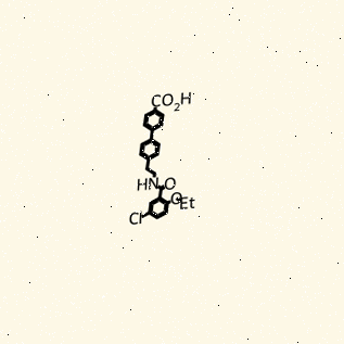 CCOc1ccc(Cl)cc1C(=O)NCCc1ccc(-c2ccc(C(=O)O)cc2)cc1